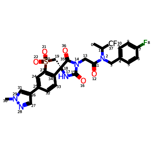 CC(N(Cc1ccc(F)cc1)C(=O)CN1C(=O)N[C@]2(CS(=O)(=O)c3cc(-c4cnn(C)c4)ccc32)C1=O)C(F)(F)F